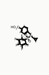 O=C(O)c1ccc(CN(C2CC2)S(=O)(=O)c2c(F)c(F)c(F)c(F)c2F)cc1